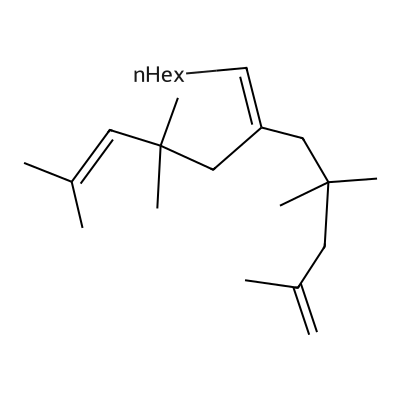 C=C(C)CC(C)(C)CC(=CCCCCCC)CC(C)(C)C=C(C)C